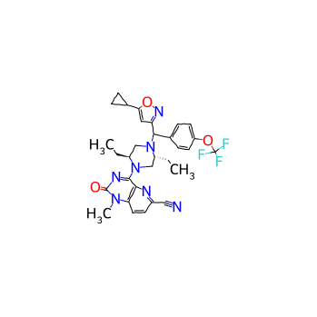 CC[C@H]1CN(C(c2ccc(OC(F)(F)F)cc2)c2cc(C3CC3)on2)[C@H](CC)CN1c1nc(=O)n(C)c2ccc(C#N)nc12